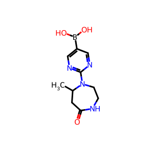 CC1CC(=O)NCCN1c1ncc(B(O)O)cn1